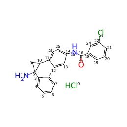 Cl.NC1(c2ccccc2)CC1c1ccc(NC(=O)c2cccc(Cl)c2)cc1